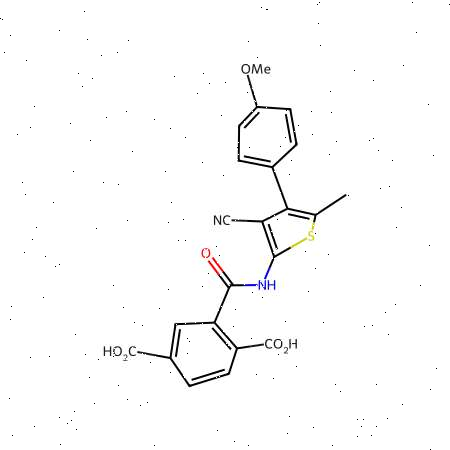 COc1ccc(-c2c(C)sc(NC(=O)c3cc(C(=O)O)ccc3C(=O)O)c2C#N)cc1